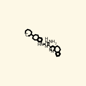 NC1NC(Nc2ccc3c(c2)CCC(C2CCCCCCC2)CC3)=NN1c1cc2c(nn1)-c1ccccc1CCC2